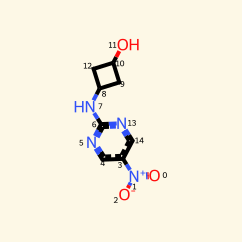 O=[N+]([O-])c1cnc(NC2CC(O)C2)nc1